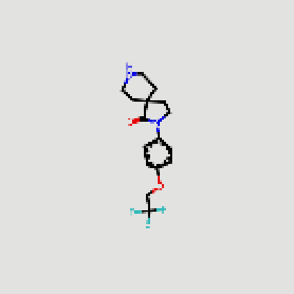 O=C1N(c2ccc(OCC(F)(F)F)cc2)CCC12CCNCC2